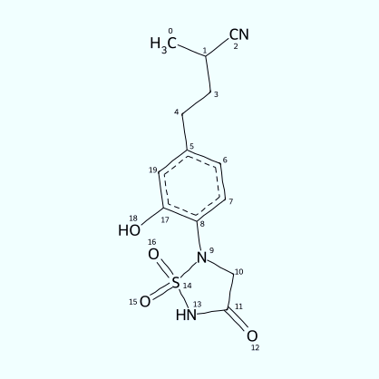 CC(C#N)CCc1ccc(N2CC(=O)NS2(=O)=O)c(O)c1